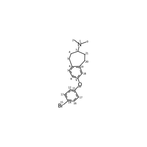 CN(C)C1CCc2ccc(Oc3ccc(Br)cc3)cc2CC1